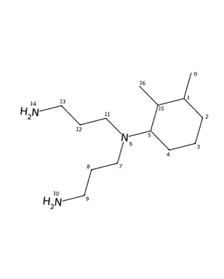 CC1CCCC(N(CCCN)CCCN)C1C